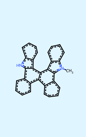 Cn1c2ccccc2c2c3c(c4ccccc4c4[nH]c5ccccc5c43)c3ccccc3c21